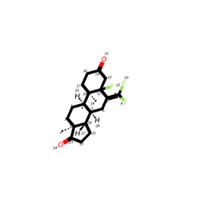 C[C@]12CC[C@@H]3[C@@H](CC(=C(F)F)C4(F)CC(=O)CC[C@]34C)[C@@H]1CCC2=O